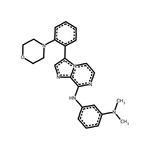 CN(C)c1cccc(Nc2nccn3c(-c4ccccc4N4CCOCC4)cnc23)c1